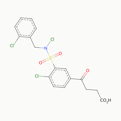 O=C(O)CCC(=O)c1ccc(Cl)c(S(=O)(=O)N(Cl)Cc2ccccc2Cl)c1